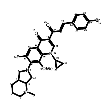 COc1c(N2CC3CCCN(C)C3C2)c(F)cc2c(=O)c(C(=O)/C=C/c3ccc(Br)cc3)cn(C3CC3)c12